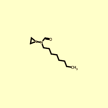 CCCCCCCCN(C=O)N1CC1